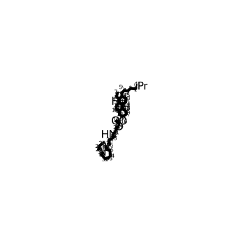 CC(C)CCC[C@@H](C)[C@H]1CC[C@H]2[C@@H]3CC=C4C[C@@H](OC(=O)OCCNCCCN5CCCN6CCCCCC65)CC[C@]4(C)[C@H]3CC[C@]12C